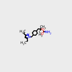 CCc1cc(CC)n(CC2CCC(CC(C)(C)OC(N)=O)CC2)n1